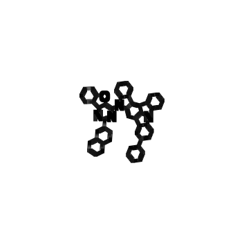 c1ccc(-c2ccc3c(c2)c2cc4c(c5ccccc5n4-c4nc(-c5ccc6ccccc6c5)nc5c4oc4ccccc45)c4c5ccccc5n3c24)cc1